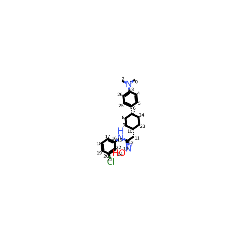 CN(C)c1ccc([C@H]2CC[C@@H](C/C(=N/O)Nc3cccc(Cl)c3)CC2)cc1